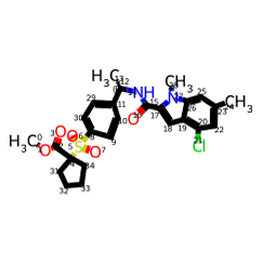 COC(=O)C1(S(=O)(=O)c2ccc([C@@H](C)NC(=O)c3cc4c(Cl)cc(C)cc4n3C)cc2)CCCC1